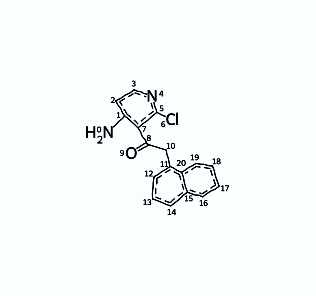 Nc1ccnc(Cl)c1C(=O)Cc1cccc2ccccc12